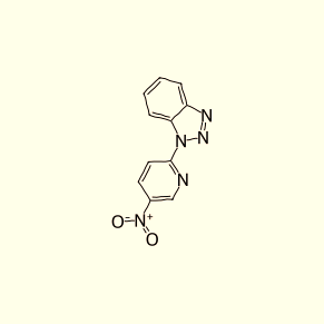 O=[N+]([O-])c1ccc(-n2nnc3ccccc32)nc1